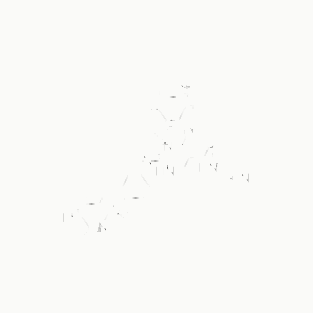 N#CCNC(=O)c1c[nH]/c(=N\c2ccc(Oc3ccc(F)cn3)cc2)n(Cc2ccc(Cl)cc2)c1=O